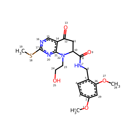 COc1ccc(CNC(=O)C2CC(=O)c3cnc(SC)nc3N2CCO)c(OC)c1